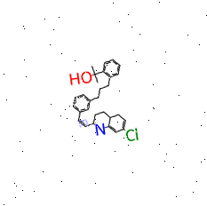 CC(C)(O)c1ccccc1CCCc1cccc(/C=C\C2=NC3=CC(Cl)=CCC3CC2)c1